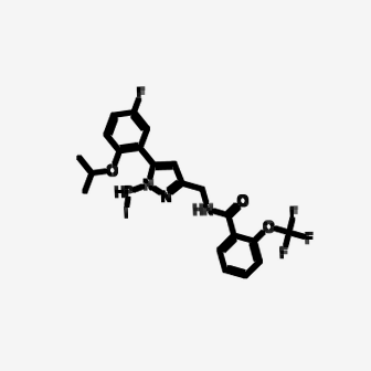 CC(C)Oc1ccc(F)cc1-c1cc(CNC(=O)c2ccccc2OC(F)(F)F)nn1PI